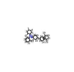 Cc1ccccc1N(c1ccc(-c2ccc3c(c2)C2(C)CCC3(C)C2)cc1)c1ccccc1C